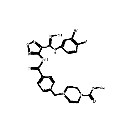 CC(C)(C)OC(=O)N1CCN(Cc2ccc(C(=O)Nc3nonc3C(=NO)Nc3ccc(F)c(Br)c3)cc2)CC1